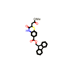 COC(=O)CC1Sc2ccc(C(=O)OCC3c4ccccc4-c4ccccc43)cc2NC1=O